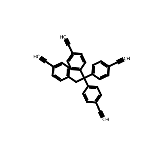 C#Cc1ccc(CC(c2ccc(C#C)cc2)(c2ccc(C#C)cc2)c2ccc(C#C)cc2)cc1